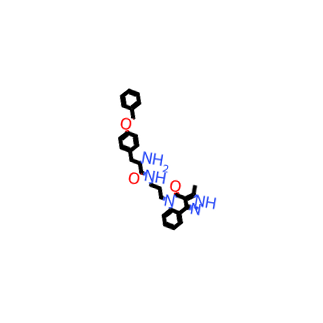 Cc1[nH]nc2c1c(=O)n(CCCNC(=O)C(N)Cc1ccc(OCc3ccccc3)cc1)c1ccccc21